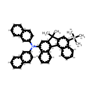 CC1(C)c2cc(N(c3ccc4ccccc4c3)c3ccc4ccccc4c3)c3ccccc3c2-c2c1cc([Si](C)(C)C)c1ccccc21